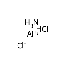 Cl.N.[Al+].[Cl-]